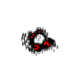 CC[Si](CC)(CC)O[C@@H]1CC[C@@H](O[Si](CC)(CC)CC)[C@H](O[Si](CC)(CC)CC)C[C@H](O[Si](CC)(CC)CC)C[C@]2(OC)C[C@H](O[Si](CC)(CC)CC)[C@@H](C(=O)O)C(C[C@@H](O[C@@H]3O[C@H](C)[C@@H](O[Si](CC)(CC)CC)[C@H](NC(=O)OCC4c5ccccc5-c5ccccc54)[C@@H]3O[Si](CC)(CC)CC)/C=C/C=C/C=C/C=C/C=C/C=C/C=C/[C@H](C)[C@@H](O[Si](CC)(CC)CC)[C@@H](C)[C@H](C)OC(=O)C[C@H](O[Si](CC)(CC)CC)C1)O2